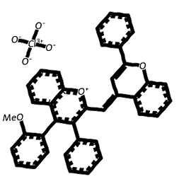 COc1ccccc1-c1c(-c2ccccc2)c(C=C2C=C(c3ccccc3)Oc3ccccc32)[o+]c2ccccc12.[O-][Cl+3]([O-])([O-])[O-]